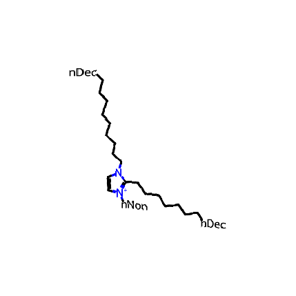 CCCCCCCCCCCCCCCCCCCn1cc[n+](CCCCCCCCC)c1CCCCCCCCCCCCCCCCC